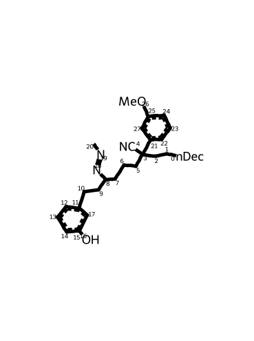 CCCCCCCCCCCCC(C#N)(CCCC(CCc1cccc(O)c1)N=NC)c1cccc(OC)c1